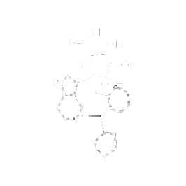 O=C(c1ccccc1)c1ccccc1O[C@]1(c2c[nH]c3ccccc23)O[C@H](C(O)Cl)[C@H](O)[C@H](O)[C@H]1O